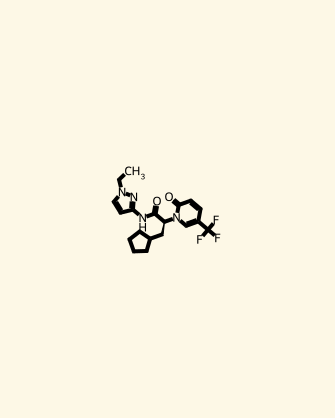 CCn1ccc(NC(=O)[C@H](CC2CCCC2)n2cc(C(F)(F)F)ccc2=O)n1